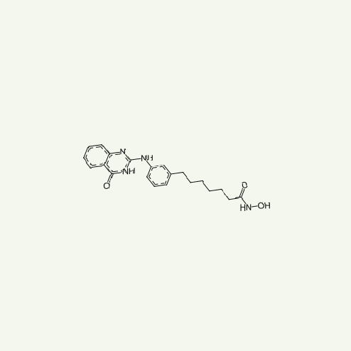 O=C(CCCCCCc1cccc(Nc2nc3ccccc3c(=O)[nH]2)c1)NO